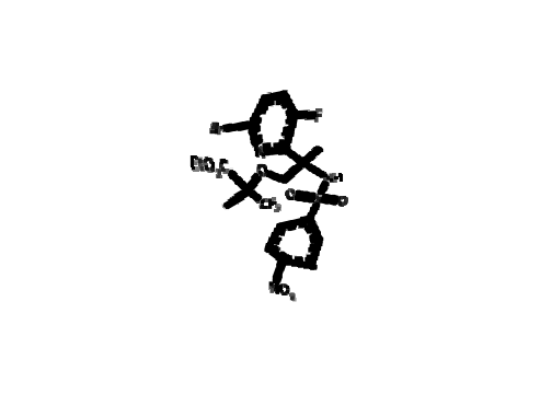 CCOC(=O)C(C)(OCC(C)(NS(=O)(=O)c1ccc([N+](=O)[O-])cc1)c1nc(Br)ccc1F)C(F)(F)F